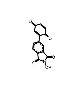 O=C1C=CC(=O)C(c2ccc3c(c2)C(=O)N(O)C3=O)=C1